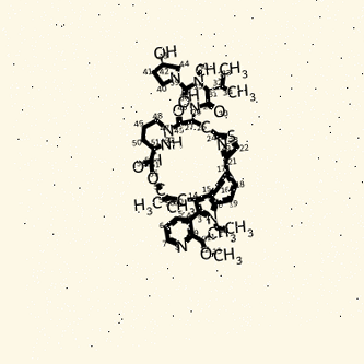 CCn1c(-c2cccnc2[C@H](C)OC)c2c3cc(ccc31)-c1csc(n1)C[C@H](NC(=O)[C@H](C(C)C)N(C)C(=O)N1CC[C@H](O)C1)C(=O)N1CCC[C@H](N1)C(=O)OCC(C)(C)C2